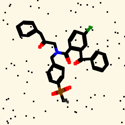 CS(=O)(=O)c1ccc(CN(CC(=O)Cc2ccccc2)C(=O)c2ccc(Br)cc2C(=O)c2ccccc2)cc1